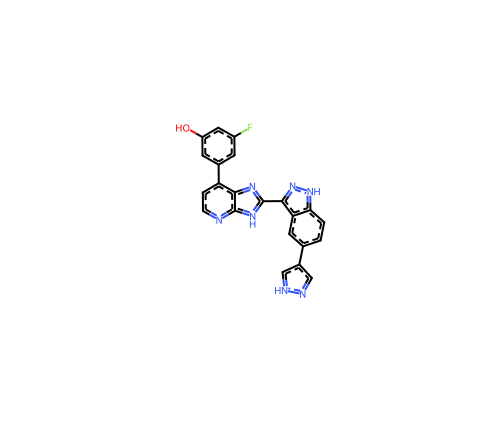 Oc1cc(F)cc(-c2ccnc3[nH]c(-c4n[nH]c5ccc(-c6cn[nH]c6)cc45)nc23)c1